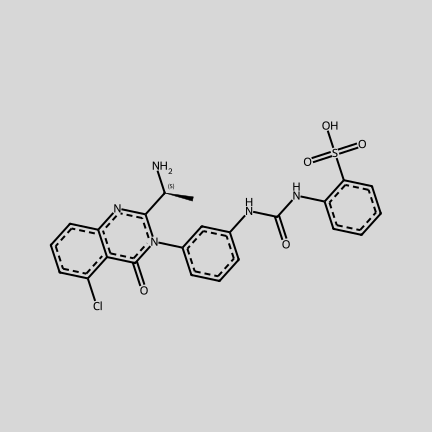 C[C@H](N)c1nc2cccc(Cl)c2c(=O)n1-c1cccc(NC(=O)Nc2ccccc2S(=O)(=O)O)c1